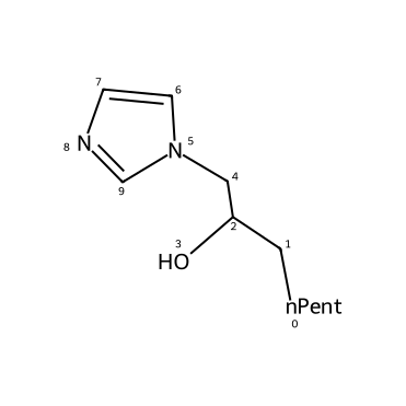 CCCCCCC(O)Cn1ccnc1